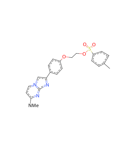 CNc1ccn2cc(-c3ccc(OCCOS(=O)(=O)c4ccc(C)cc4)cc3)nc2n1